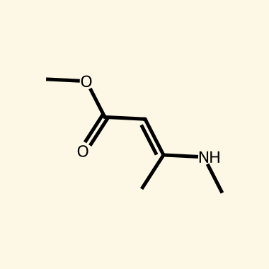 CN/C(C)=C/C(=O)OC